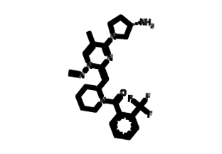 C=NN1C=C(C)C(N2CC[C@H](N)C2)=N/C1=C/C1CCCCN1C(=O)c1ccccc1C(F)(F)F